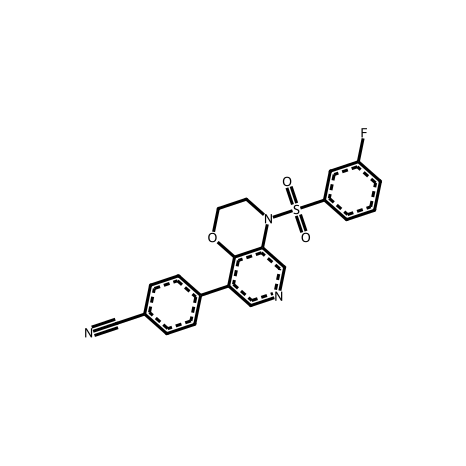 N#Cc1ccc(-c2cncc3c2OCCN3S(=O)(=O)c2cccc(F)c2)cc1